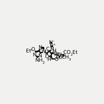 CCOC(=O)[C@H](C)NP1(=O)OC[C@H]2O[C@@H](n3cnc4c(OCC)nc(N)nc43)[C@](C)(N=[N+]=[N-])[C@@H]2O1